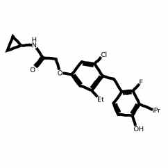 CCc1cc(OCC(=O)NC2CC2)cc(Cl)c1Cc1ccc(O)c(C(C)C)c1F